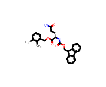 Cc1cccc(COC(=O)[C@H](CCC(N)=O)NC(=O)OCC2c3ccccc3-c3ccccc32)c1C